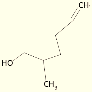 [CH]=CCCC(C)CO